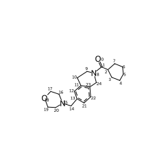 O=C(C1CCCCC1)N1CCc2cc(CN3CCOCC3)ccc2C1